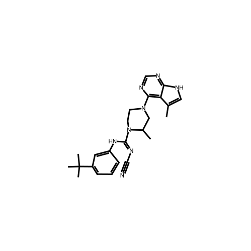 Cc1c[nH]c2ncnc(N3CCN(C(=NC#N)Nc4cccc(C(C)(C)C)c4)C(C)C3)c12